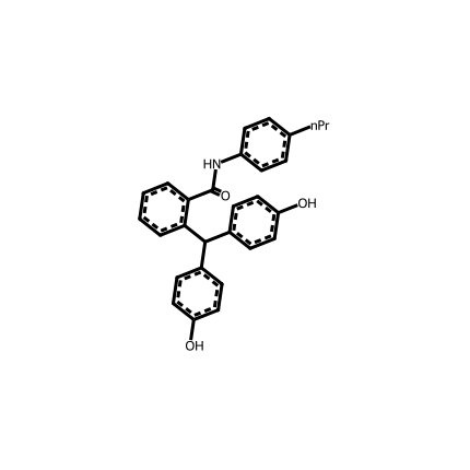 CCCc1ccc(NC(=O)c2ccccc2C(c2ccc(O)cc2)c2ccc(O)cc2)cc1